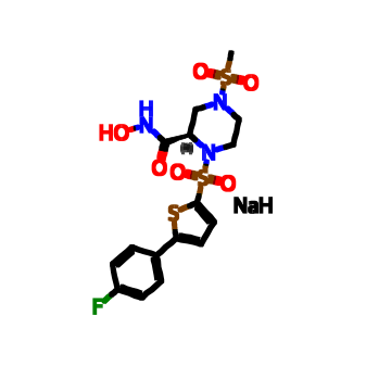 CS(=O)(=O)N1CCN(S(=O)(=O)c2ccc(-c3ccc(F)cc3)s2)[C@@H](C(=O)NO)C1.[NaH]